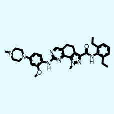 CCc1cccc(CC)c1NC(=O)c1nn(C)c2c1CCc1cnc(Nc3ccc(N4CCN(C)CC4)cc3OC)nc1-2